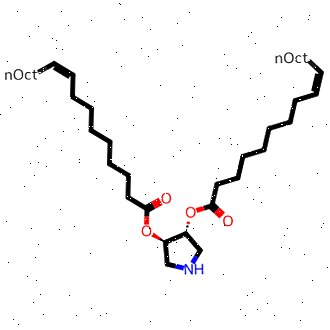 CCCCCCCC/C=C\CCCCCCCC(=O)O[C@@H]1CNC[C@H]1OC(=O)CCCCCCC/C=C\CCCCCCCC